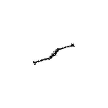 C=C(C)C(=O)OCCCCCCCCCCCCCCCCOc1ccc(C(=O)Oc2cc(F)c(OC(=O)c3ccc(OCCCCCCCCCCCCCCCCOC(=O)C(=C)C)cc3)cc2F)cc1